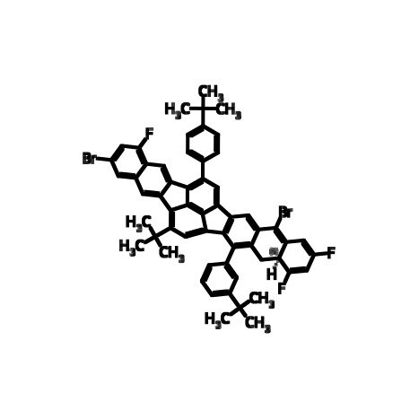 CC(C)(C)c1ccc(-c2cc3c4c(cc(C(C)(C)C)c5c4c2-c2cc4c(F)cc(Br)cc4cc2-5)-c2c-3cc3c(c2-c2cccc(C(C)(C)C)c2)C[C@@H]2C(F)=CC(F)=CC2=C3Br)cc1